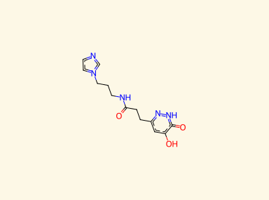 O=C(CCc1cc(O)c(=O)[nH]n1)NCCCn1ccnc1